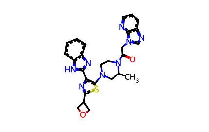 CC1CN(c2sc(C3COC3)nc2-c2nc3ccccc3[nH]2)CCN1C(=O)Cn1cnc2cccnc21